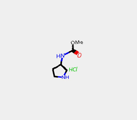 COC(=O)NC1CCNC1.Cl